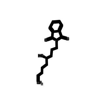 C=CCCC[C@@H](O)CCCN1C(=O)c2ccccc2C1=O